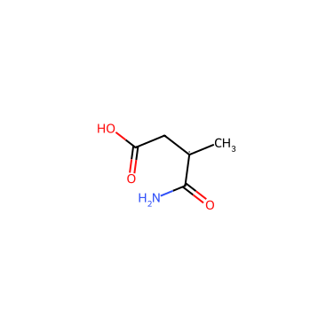 C[C](CC(=O)O)C(N)=O